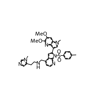 COc1cc2c(nc1OC)c(-c1cc3c(CNCCc4cncn4C)ccnc3n1S(=O)(=O)c1ccc(C)cc1)cn2C